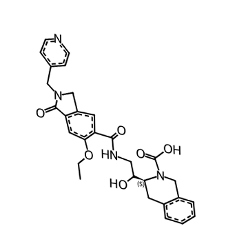 CCOc1cc2c(cc1C(=O)NCC(O)[C@@H]1Cc3ccccc3CN1C(=O)O)CN(Cc1ccncc1)C2=O